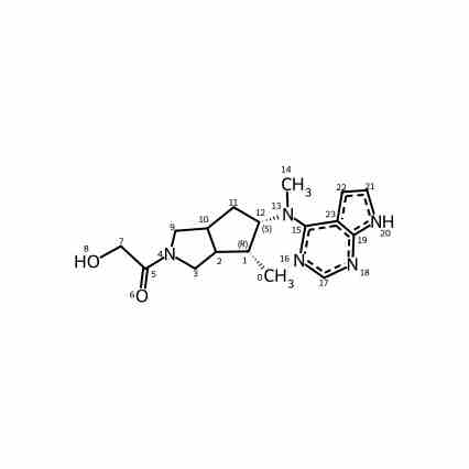 C[C@@H]1C2CN(C(=O)CO)CC2C[C@@H]1N(C)c1ncnc2[nH]ccc12